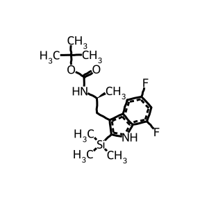 C[C@@H](Cc1c([Si](C)(C)C)[nH]c2c(F)cc(F)cc12)NC(=O)OC(C)(C)C